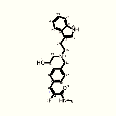 CNC(=O)/C(F)=C\c1ccc(CN(CCO)CCc2c[nH]c3ccccc23)cc1